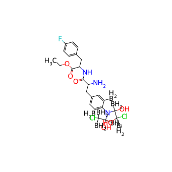 Bc1cc(CC(N)C(=O)NC(Cc2ccc(F)cc2)C(=O)OCC)cc(B)c1N(C(B)(O)C(B)(B)Cl)C(B)(O)C(B)(O)Cl